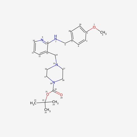 COc1ccc(CNc2ncccc2CN2CCN(C(=O)OC(C)(C)C)CC2)cc1